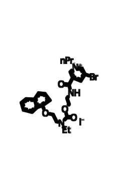 CCC[n+]1cc(Br)cc(C(=O)NCCOC(=O)N(CC)CCOc2cccc3ccccc23)c1.[I-]